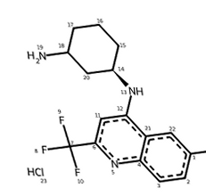 Cc1ccc2nc(C(F)(F)F)cc(N[C@@H]3CCCC(N)C3)c2c1.Cl